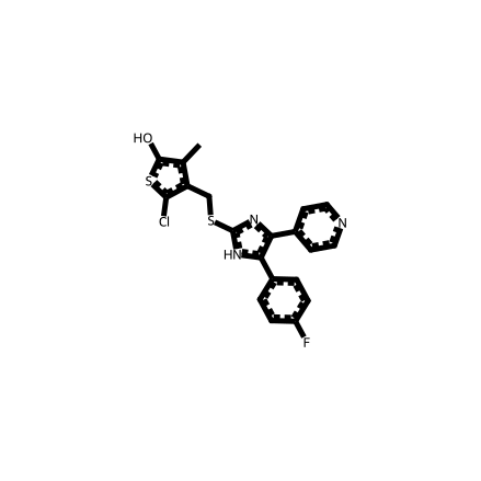 Cc1c(O)sc(Cl)c1CSc1nc(-c2ccncc2)c(-c2ccc(F)cc2)[nH]1